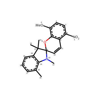 COc1ccc([N+](=O)[O-])c2c1OC1(C=C2)N(C)c2c(C)cccc2C1(C)C